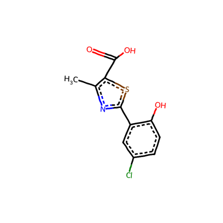 Cc1nc(-c2cc(Cl)ccc2O)sc1C(=O)O